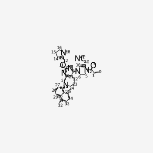 C=CC(=O)N1CCN(c2nc(OC[C@@H]3CCCN3C)nc3c2CCCN(c2cccc4c(C)cccc24)C3)C[C@@H]1CC#N